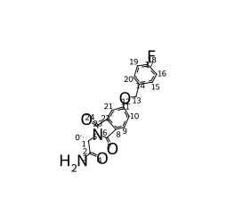 C[C@@H](C(N)=O)N1C(=O)c2ccc(OCc3ccc(F)cc3)cc2C1=O